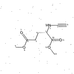 C#CN[C@@H](CCC(=O)OC)C(=O)OC